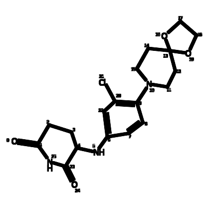 O=C1CCC(Nc2ccc(N3CCC4(CC3)OCCO4)c(Cl)c2)C(=O)N1